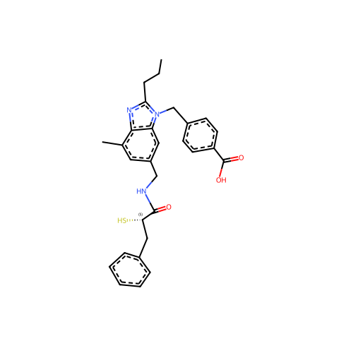 CCCc1nc2c(C)cc(CNC(=O)[C@@H](S)Cc3ccccc3)cc2n1Cc1ccc(C(=O)O)cc1